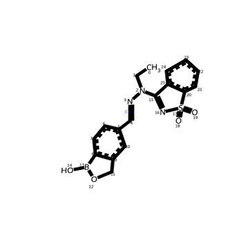 CCN(/N=C/c1ccc2c(c1)COB2O)C1=NS(=O)(=O)c2ccccc21